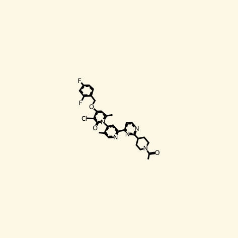 CC(=O)N1CCC(c2nccc(-c3cc(-n4c(C)cc(OCc5ccc(F)cc5F)c(Cl)c4=O)c(C)cn3)n2)CC1